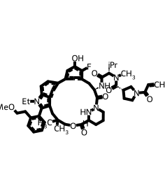 C=CC(=O)N1CC[C@H](C(=O)N(C)[C@H](C(=O)N[C@H]2Cc3cc(cc(O)c3F)-c3ccc4c(c3)c(c(-c3ccccc3CCOC)n4CC)CC(C)(C)COC(=O)[C@@H]3CCCN(N3)C2=O)C(C)C)C1